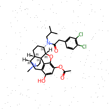 CC(=O)Oc1cc(O)c2c3c1O[C@H]1[C@@H](N(CC(C)C)C(=O)Cc4ccc(Cl)c(Cl)c4)CC[C@H]4[C@@H](C2)N(C)CC[C@@]341